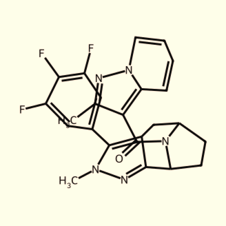 Cc1nn2ccccc2c1C(=O)N1C2CCC1c1nn(C)c(-c3cc(F)c(F)c(F)c3)c1C2